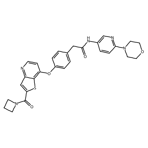 O=C(Cc1ccc(Oc2ccnc3cc(C(=O)N4CCC4)sc23)cc1)Nc1ccc(N2CCOCC2)nc1